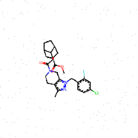 COC(=O)C1CC2CCC(C1)C2CC(=O)N1CCc2c(C)nn(Cc3ccc(Cl)cc3F)c2C1